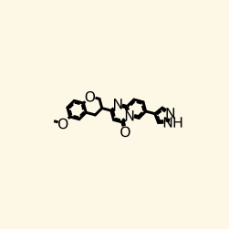 COc1ccc2c(c1)CC(c1cc(=O)n3cc(-c4cn[nH]c4)ccc3n1)CO2